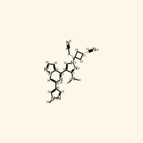 CN(C)c1nn([C@]2(CC#N)C[C@@H](C#N)C2)cc1-c1nc(-c2cnn(C)c2)cn2nccc12